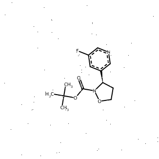 CC(C)(C)OC(=O)N1OCC[C@@H]1c1cncc(F)c1